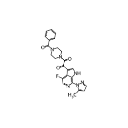 Cc1ccnn1-c1ncc(F)c2c(C(=O)C(=O)N3CCN(C(=O)c4ccccc4)CC3)c[nH]c12